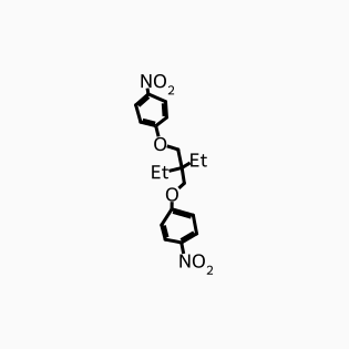 CCC(CC)(COc1ccc([N+](=O)[O-])cc1)COc1ccc([N+](=O)[O-])cc1